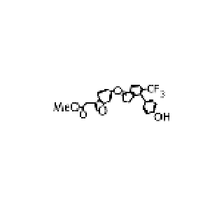 COC(=O)Cc1coc2cc(O[C@@H]3CCc4c3ccc(C(F)(F)F)c4-c3ccc(O)cc3)ccc12